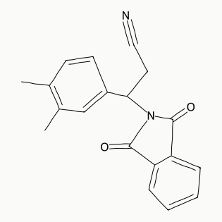 Cc1ccc(C(CC#N)N2C(=O)c3ccccc3C2=O)cc1C